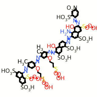 Cc1cc(N=Nc2c(S(=O)(=O)O)cc3c(S(=O)(=O)O)c(N=Nc4cc(S(=O)(=O)O)c5cc(SOOO)c(N=Nc6ccc([N+](=O)[O-])cc6S(=O)(=O)O)c(O)c5c4N)ccc3c2O)c(OCCCSOOO)cc1N=Nc1cc(C)c(N=Nc2cc(S(=O)(=O)O)cc3cc(S(=O)(=O)O)cc(SOOO)c23)cc1OCCCSOOO